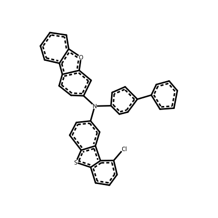 Clc1cccc2sc3ccc(N(c4ccc(-c5ccccc5)cc4)c4ccc5c(c4)oc4ccccc45)cc3c12